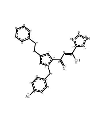 CC(=O)c1ccc(Cn2cc(CCc3ccccc3)cc2C(=O)C=C(O)c2nn[nH]n2)cc1